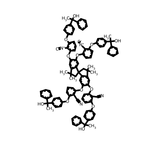 [C-]#[N+]c1c(Oc2ccc(C(C)(O)c3ccccc3)cc2)cccc1Oc1cc2c(cc1Oc1cccc(Oc3ccc(C(C)(O)c4ccccc4)cc3)c1[N+]#[C-])C1(CC(C)(C)c3cc(Oc4cccc(Oc5ccc(C(C)(O)c6ccccc6)cc5)c4C#N)c(Oc4cccc(Oc5ccc(C(C)(O)c6ccccc6)cc5)c4C#N)cc31)CC2(C)C